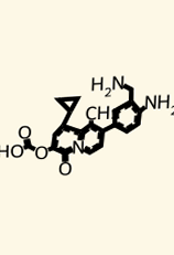 Cc1c(-c2ccc(N)c(CN)c2)ccn2c(=O)c(OC(=O)O)cc(C3CC3)c12